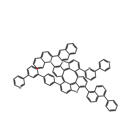 C1=CC2=CC=C(c3ccc4ccccc4c3)N(c3ccc4c5c(-c6ccc(-c7cccc(-c8cccnc8)c7)cc6)ccc6oc7c(-c8cccc9c(-c%10ccccc%10)cccc89)ccc(c8c(-c9cccc(-c%10ccncc%10)n9)ccc9oc3c4c98)c7c65)C2C=C1